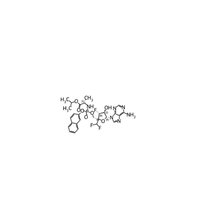 CC(C)OC(=O)[C@H](C)NP(=O)(OC[C@@]1(C(F)F)O[C@@H](n2cnc3c(N)ncnc32)[C@H](O)[C@H]1F)Oc1ccc2ccccc2c1